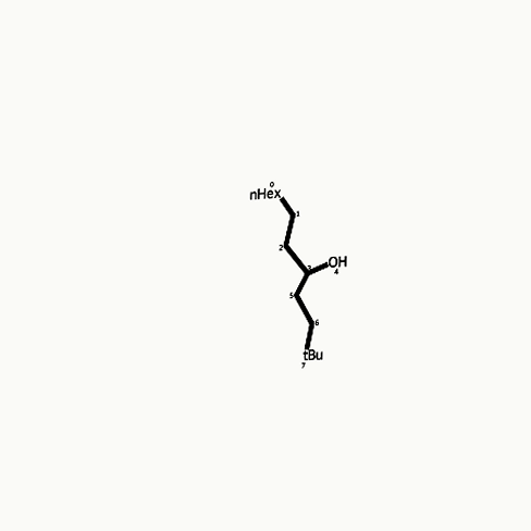 CCCCCCCCC(O)CCC(C)(C)C